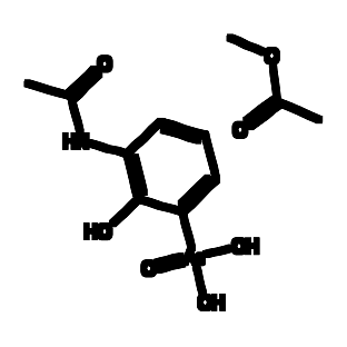 CC(=O)Nc1cccc([As](=O)(O)O)c1O.COC(C)=O